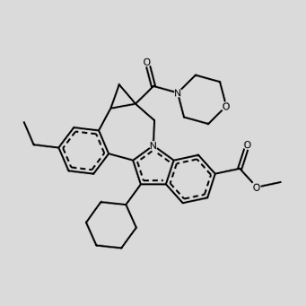 CCc1ccc2c(c1)C1CC1(C(=O)N1CCOCC1)Cn1c-2c(C2CCCCC2)c2ccc(C(=O)OC)cc21